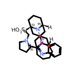 O=C(O)CN1CCC[C@@H]1c1nc2ccccc2n1C1C[C@H]2CCC[C@@H](C1)N2[C@@H]1C[C@@H]2CCCC[C@@H](C2)C1